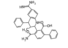 CC1C(c2c(C(N)=O)ccc(-c3ccccc3)c2C(=O)O)Nc2ccc(C(=N)N)cc2C1c1ccccc1